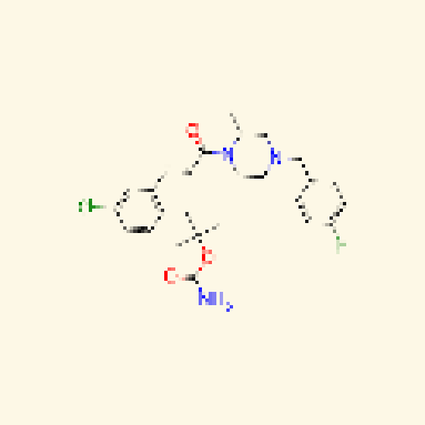 CC1CN(Cc2ccc(F)cc2)CCN1C(=O)/C=C/c1cc(Cl)ccc1CC(C)(C)OC(N)=O